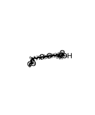 COC(=O)CC(C)(C)CCCCOCCCOCCCCC(C)(C)C(C)C(=O)O